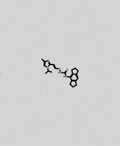 Cc1cn(C(C)C)c(/C=C/SNC(=O)Nc2c3c(cc4c2CCC4)CCC3)n1